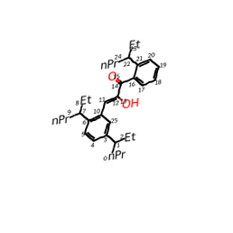 CCCC(CC)c1ccc(C(CC)CCC)c(C=C(O)C(=O)c2ccccc2C(CC)CCC)c1